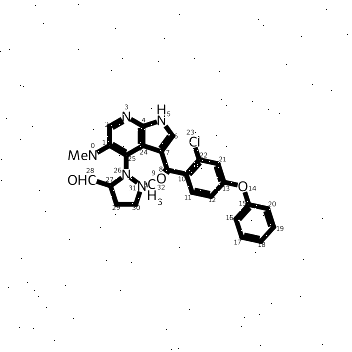 CNc1cnc2[nH]cc(C(=O)c3ccc(Oc4ccccc4)cc3Cl)c2c1N1C(C=O)CCN1C